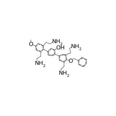 COc1cc(CCN)c(-c2ccc(-c3cc(CCN)c(OCc4ccccc4)c(CCN)c3)c(O)c2)c(CCN)c1